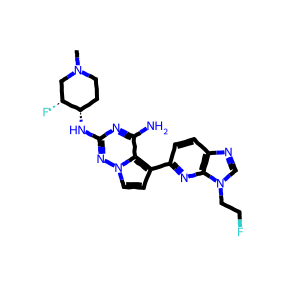 CN1CC[C@H](Nc2nc(N)c3c(-c4ccc5ncn(CCF)c5n4)ccn3n2)[C@H](F)C1